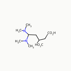 CN(C)C(CC(CC(=O)O)C(=O)O)N(C)C